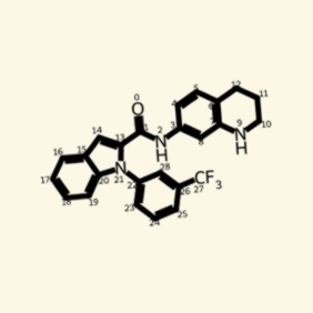 O=C(Nc1ccc2c(c1)NCCC2)c1cc2ccccc2n1-c1cccc(C(F)(F)F)c1